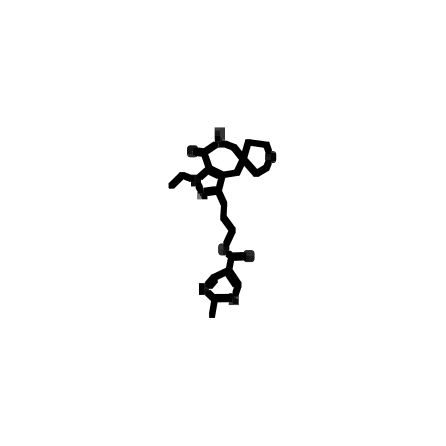 CCn1nc(CCCOC(=O)c2cnc(C)nc2)c2c1C(=O)NCC1(CCOCC1)C2